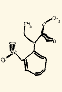 CCN(C(=O)OC)c1ccccc1[N+](=O)[O-]